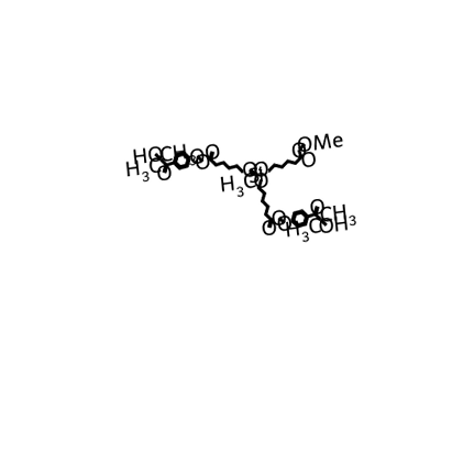 COOC(=O)CCCCCO[Si](C)(OCCCCCC(=O)OOc1ccc(C(=O)C(C)(C)O)cc1)OCCCCCC(=O)OOc1ccc(C(=O)C(C)(C)O)cc1